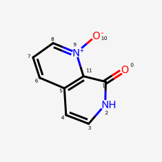 O=c1[nH]ccc2ccc[n+]([O-])c12